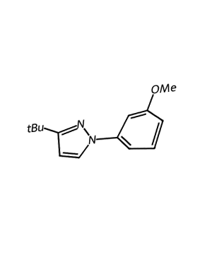 COc1cccc(-n2ccc(C(C)(C)C)n2)c1